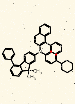 CC1(C)c2cc(N(c3ccc(C4CCCCC4)cc3)c3ccc4ccccc4c3-c3ccccc3)ccc2-c2c(-c3ccccc3)cccc21